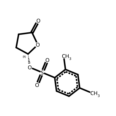 Cc1ccc(S(=O)(=O)O[C@@H]2CCC(=O)O2)c(C)c1